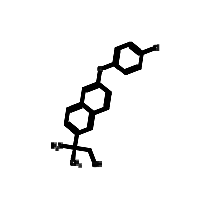 C[C@](N)(CO)c1ccc2cc(Oc3ccc(Cl)cc3)ccc2c1